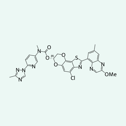 COc1cnc2c(-c3nc4c(Cl)cc5c(c4s3)OC[C@@H](OC(=O)N(C)c3ccc(-n4cnc(C)n4)nc3)O5)cc(C)cc2n1